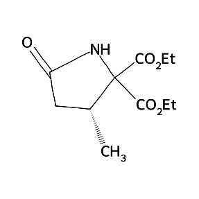 CCOC(=O)C1(C(=O)OCC)NC(=O)C[C@H]1C